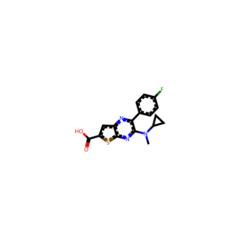 CN(c1nc2sc(C(=O)O)cc2nc1-c1ccc(F)cc1)C1CC1